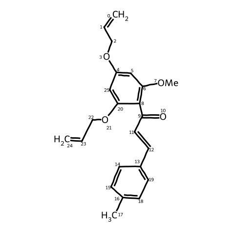 C=CCOc1cc(OC)c(C(=O)/C=C/c2ccc(C)cc2)c(OCC=C)c1